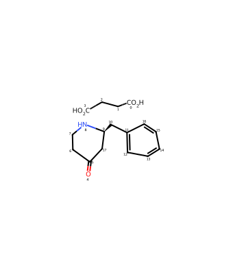 O=C(O)CCC(=O)O.O=C1CCN[C@@H](Cc2ccccc2)C1